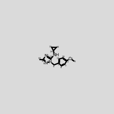 COc1ccc(Cn2nc(C)nc2NC2CC2)cc1